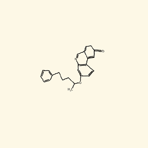 CC(CCCc1ccccc1)Oc1ccc2c3c(cnc2c1)=CCC(=O)C=3